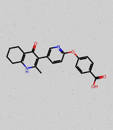 Cc1[nH]c2c(c(=O)c1-c1ccc(Oc3ccc(C(=O)O)cc3)nc1)CCCC2